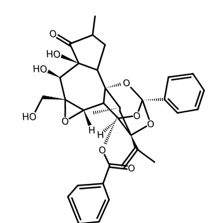 C=C(C)[C@@]12O[C@@]3(c4ccccc4)O[C@@H]1C1[C@@H]4O[C@]4(CO)[C@@H](O)[C@]4(O)C(=O)C(C)CC4[C@@]1(O3)[C@H](C)[C@H]2OC(=O)c1ccccc1